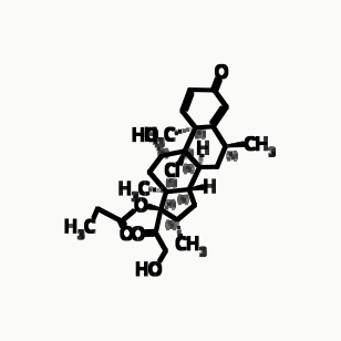 CCC(=O)O[C@]1(C(=O)CO)[C@@H](C)C[C@H]2[C@@H]3C[C@H](C)C4=CC(=O)C=C[C@]4(C)[C@@]3(Cl)[C@@H](O)C[C@@]21C